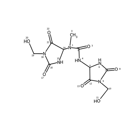 CN(C(=O)NC1NC(=O)N(CO)C1=O)C1NC(=O)N(CO)C1=O